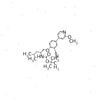 COc1cc(-c2ccc(OC[C@H](CC(C)C)NC(=O)OC(C)(C)C)c(C#N)c2)ccn1